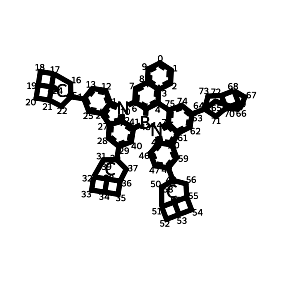 c1ccc2c3c4c(cc2c1)-n1c2ccc(C56CC7CC8CC(C5)C87C6)cc2c2cc(C56CC7CC8CC(C5)C87C6)cc(c21)B4n1c2ccc(C45CC6CC7CC(C4)C76C5)cc2c2cc(C45CC6CC7CC6(C4)C7C5)cc-3c21